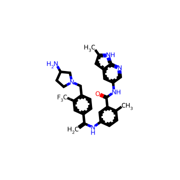 C=C(Nc1ccc(C)c(C(=O)Nc2cnc3[nH]c(C)cc3c2)c1)c1ccc(CN2CCC(N)C2)c(C(F)(F)F)c1